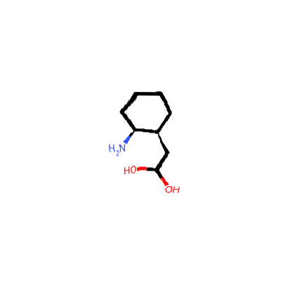 N[C@H]1CCCC[C@H]1CC(O)O